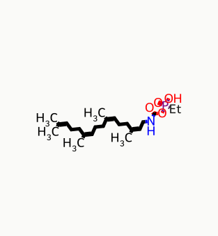 CCP(=O)(O)OC(=O)NCC=C(C)CCC=C(C)CCC=C(C)CCC=C(C)C